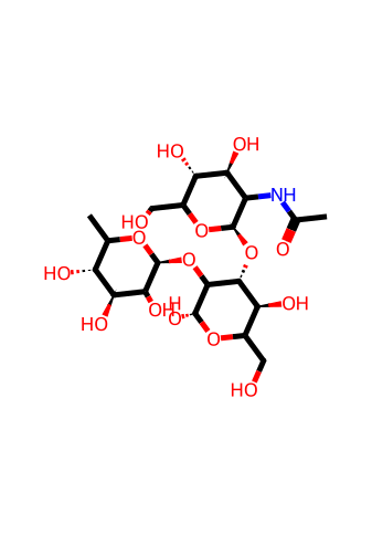 CC(=O)NC1[C@@H](O[C@H]2C(O[C@@H]3OC(C)[C@@H](O)[C@H](O)C3O)[C@@H](O)OC(CO)[C@@H]2O)OC(CO)[C@H](O)[C@H]1O